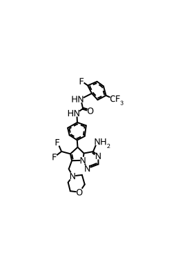 NC1=NC=NN2C(CN3CCOCC3)=C(C(F)F)C(c3ccc(NC(=O)Nc4cc(C(F)(F)F)ccc4F)cc3)C12